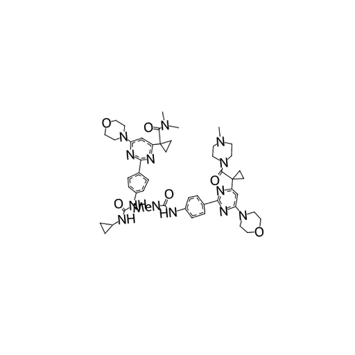 CN(C)C(=O)C1(c2cc(N3CCOCC3)nc(-c3ccc(NC(=O)NC4CC4)cc3)n2)CC1.CNC(=O)Nc1ccc(-c2nc(N3CCOCC3)cc(C3(C(=O)N4CCN(C)CC4)CC3)n2)cc1